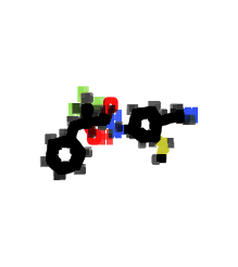 CSc1cc(NC(=O)C(O)(Cc2ccccc2)C(F)(F)F)ccc1C#N